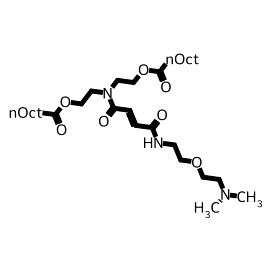 CCCCCCCCC(=O)OCCN(CCOC(=O)CCCCCCCC)C(=O)C=CC(=O)NCCOCCN(C)C